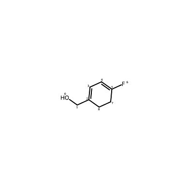 OCC1=CC=C(F)CC1